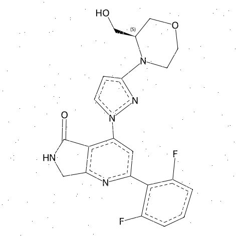 O=C1NCc2nc(-c3c(F)cccc3F)cc(-n3ccc(N4CCOC[C@@H]4CO)n3)c21